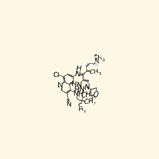 C=C(/C=C\C=N/C)[C@H](Nc1cc(Cl)c2ncc(C#N)c(NCC(C)(C)C)c2c1)C1=CN(C2COC2)NN1